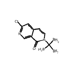 BC(B)(B)n1ccc2cc(Cl)ncc2c1=O